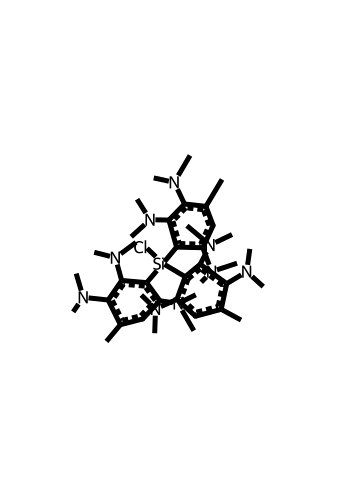 Cc1cc(N(C)C)c([Si](Cl)(c2c(N(C)C)cc(C)c(N(C)C)c2N(C)C)c2c(N(C)C)cc(C)c(N(C)C)c2N(C)C)c(N(C)C)c1N(C)C